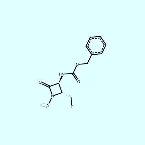 O=C(N[C@@H]1C(=O)N(S(=O)(=O)O)[C@H]1CF)OCc1ccccc1